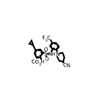 N#CC1CCN(c2ccc(C(F)(F)F)cc2NS(=O)(=O)c2cc(C3CC3)ccc2C(=O)O)CC1